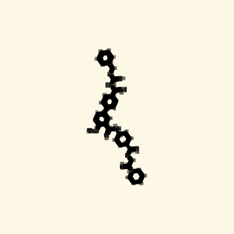 COc1ccc(-c2ccc(C(=N)NC(=O)OCc3ccccc3)cc2)cc1C(=O)N[C@H]1CC[C@H](C(=O)OCC(=O)N2CCCCC2)CC1